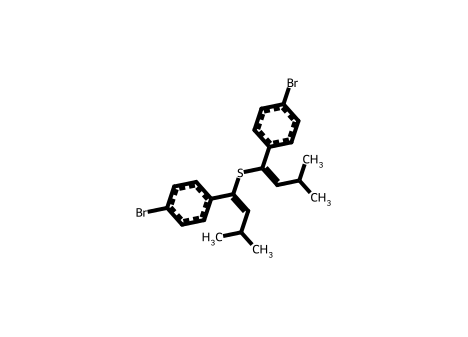 CC(C)C=C(SC(=CC(C)C)c1ccc(Br)cc1)c1ccc(Br)cc1